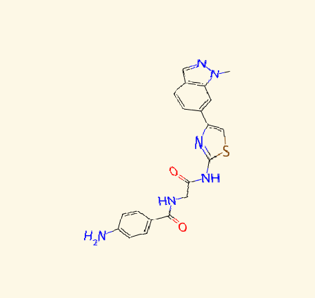 Cn1ncc2ccc(-c3csc(NC(=O)CNC(=O)c4ccc(N)cc4)n3)cc21